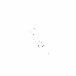 CN(CC(=O)Nc1nc2c(F)c3c(c(F)c2[nH]1)CC(C=O)C3)C(=O)OC(C)(C)C